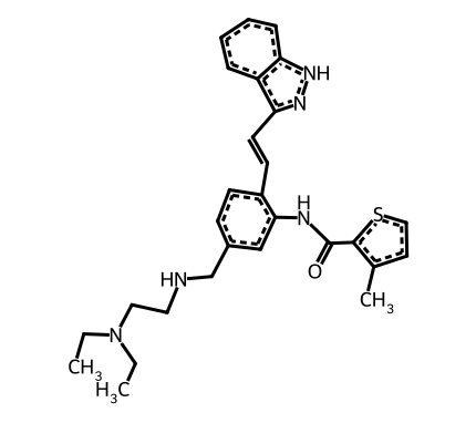 CCN(CC)CCNCc1ccc(C=Cc2n[nH]c3ccccc23)c(NC(=O)c2sccc2C)c1